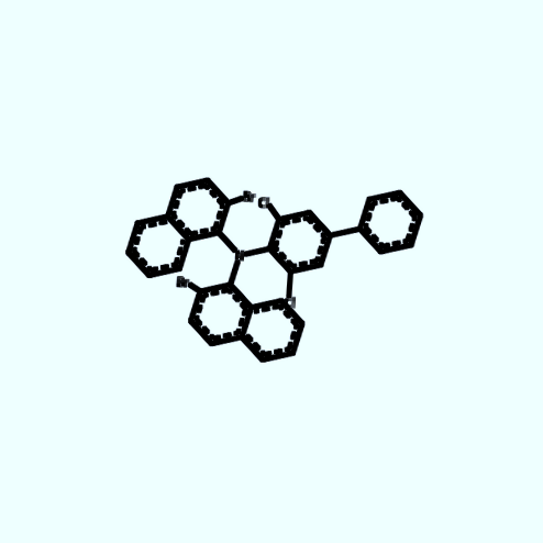 Clc1cc(-c2ccccc2)cc(Cl)c1N(c1c(Br)ccc2ccccc12)c1c(Br)ccc2ccccc12